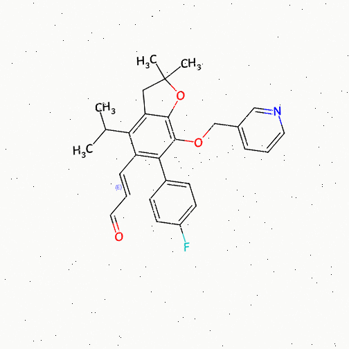 CC(C)c1c(/C=C/C=O)c(-c2ccc(F)cc2)c(OCc2cccnc2)c2c1CC(C)(C)O2